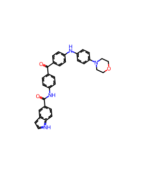 O=C(Nc1ccc(C(=O)c2ccc(Nc3ccc(N4CCOCC4)cc3)cc2)cc1)c1ccc2[nH]ccc2c1